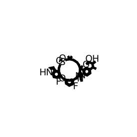 CC(C(=O)O)C(C)c1cccc(C2(C)CCCC(C)(C)CS(=O)(=O)CCc3c(c(F)cc4[nH]ccc34)Oc3ccc(F)c(c3)-c3nc2nn3C)c1